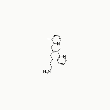 Cc1cccnc1CN(CCCCN)C(C)c1ccccn1